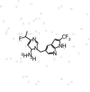 [2H]N([2H])C1C=C(C(C)F)N=CN1Cc1cnc2[nH]c(C(F)(F)F)cc2c1